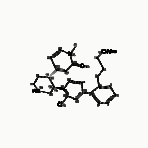 COCCCc1ccccc1-c1ccc([C@H]2CNCC[C@@H]2c2ccn(C)c(=O)c2)c(Cl)c1